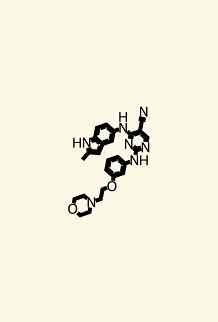 Cc1cc2cc(Nc3nc(Nc4cccc(OCCN5CCOCC5)c4)ncc3C#N)ccc2[nH]1